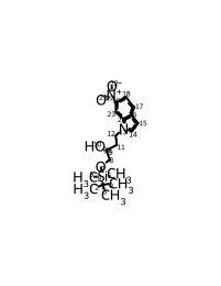 CC(C)(C)[Si](C)(C)OC[C@@H](O)CCn1ccc2ccc([N+](=O)[O-])cc21